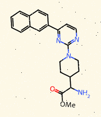 COC(=O)C(N)C1CCN(c2nccc(-c3ccc4ccccc4c3)n2)CC1